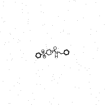 O=C(NCCc1ccccc1)N1CCC(S(=O)(=O)c2ccccc2)CC1